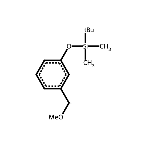 CO[C]c1cccc(O[Si](C)(C)C(C)(C)C)c1